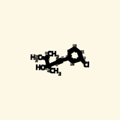 C=C(C)C(C)(O)C#Cc1cccc(Cl)c1